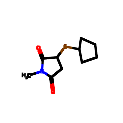 CN1C(=O)CC(SC2CCCC2)C1=O